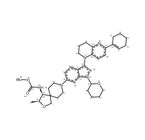 C[C@@H]1OCC2(CCN(c3cnc4c(N5CCCc6nc(C7=CCCCC7)ccc65)nn(C5CCCCO5)c4n3)CC2)[C@@H]1NC(=O)OC(C)(C)C